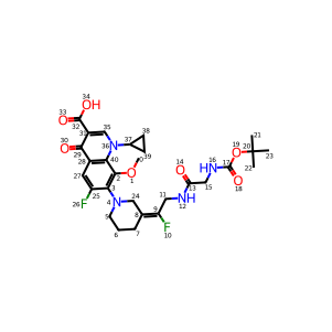 COc1c(N2CCC/C(=C(\F)CNC(=O)CNC(=O)OC(C)(C)C)C2)c(F)cc2c(=O)c(C(=O)O)cn(C3CC3)c12